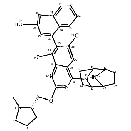 CN1CCC[C@H]1COc1nc(N2C3CCC2C2CCC3N2)c2cc(Cl)c(-c3cc(O)cc4ccccc34)c(F)c2n1